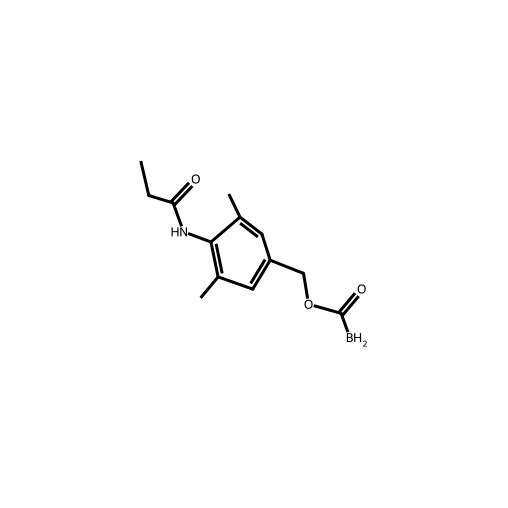 BC(=O)OCc1cc(C)c(NC(=O)CC)c(C)c1